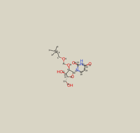 C[Si](C)(C)CCOCO[C@@H]1[C@H](O)[C@@H](CO)O[C@H]1n1ccc(=O)[nH]c1=O